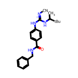 CC(N/C(=N\C#N)Nc1ccc(C(=O)NCc2ccccc2)cc1)C(C)(C)C